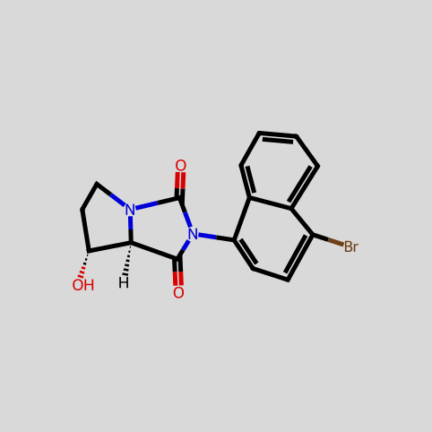 O=C1[C@H]2[C@H](O)CCN2C(=O)N1c1ccc(Br)c2ccccc12